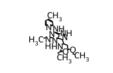 CCNc1nc(Nc2cc(C)ccn2)c2[nH]nc(C(CCOCC)NC(=O)CC)c2n1